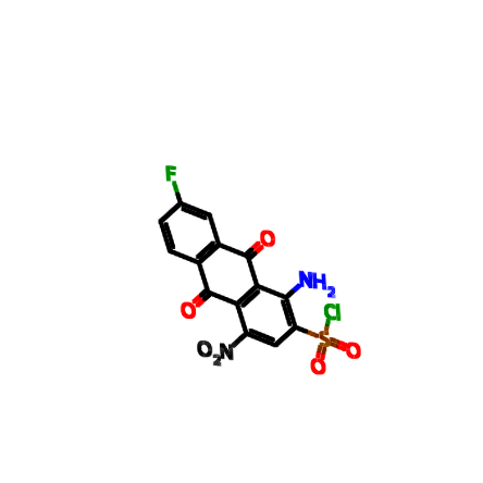 Nc1c(S(=O)(=O)Cl)cc([N+](=O)[O-])c2c1C(=O)c1cc(F)ccc1C2=O